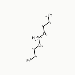 CC(C)CCO[SiH2]OCCC(C)C